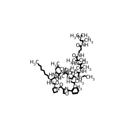 CCCCCCCC[C@H](NC(=O)[C@@H]1CCCN1C(=O)c1coc(-c2ccccc2)n1)C(=O)N[C@@H](CC(C)C)C(=O)NC(C)(C)C(=O)N[C@@H](CC(C)C)C(=O)N[C@@H](CCC)C(=O)NC(C)(C)C(=O)NC(C)(C)C(=O)NCCC(=O)N[C@@H](C)CN(C)C